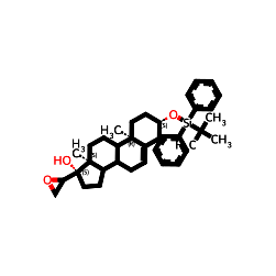 CC(C)(C)[Si](O[C@H]1CC[C@@]2(C)C(=CCC3C2CC[C@@]2(C)C3CC[C@@]2(O)C2CO2)C1)(c1ccccc1)c1ccccc1